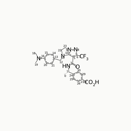 C[C@H](NC(=O)c1c(C(F)(F)F)nn2c1N(Cc1ccc(N(C)C)cc1)CC2)c1ccc(C(=O)O)cc1